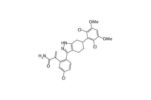 C=C(C(N)=O)c1cc(Cl)ccc1-c1n[nH]c2c1CCC(c1c(Cl)c(OC)cc(OC)c1Cl)C2